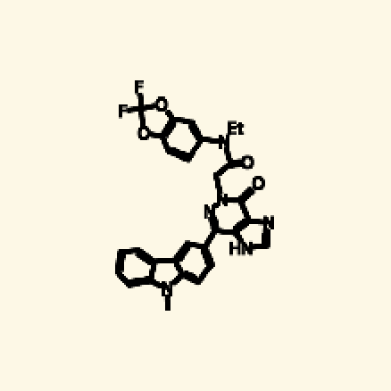 CCN(C(=O)Cn1nc(-c2ccc3c(c2)c2ccccc2n3C)c2[nH]cnc2c1=O)c1ccc2c(c1)OC(F)(F)O2